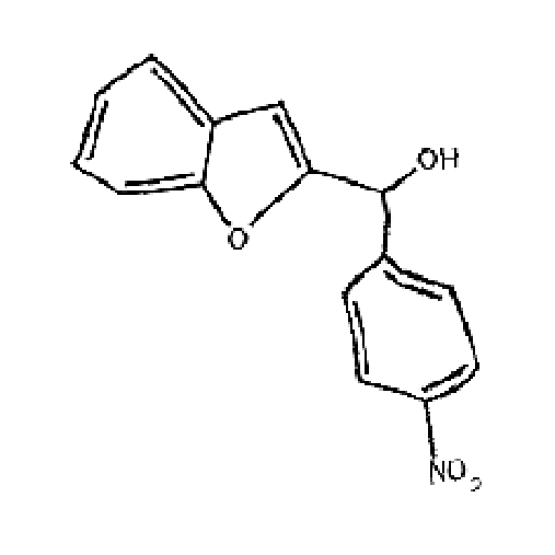 O=[N+]([O-])c1ccc(C(O)c2cc3ccccc3o2)cc1